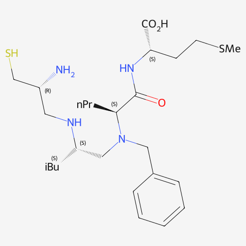 CCC[C@@H](C(=O)N[C@@H](CCSC)C(=O)O)N(Cc1ccccc1)C[C@@H](NC[C@@H](N)CS)[C@@H](C)CC